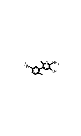 Cc1cc[c]([Fe][C](F)(F)F)cc1-c1cc(C#N)c(N)nc1C